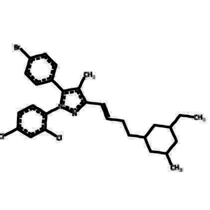 CCC1CC(C)CC(CCC=Cc2nn(-c3ccc(Cl)cc3Cl)c(-c3ccc(Br)cc3)c2C)C1